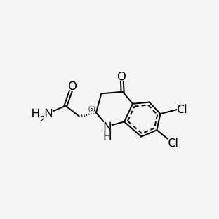 NC(=O)C[C@@H]1CC(=O)c2cc(Cl)c(Cl)cc2N1